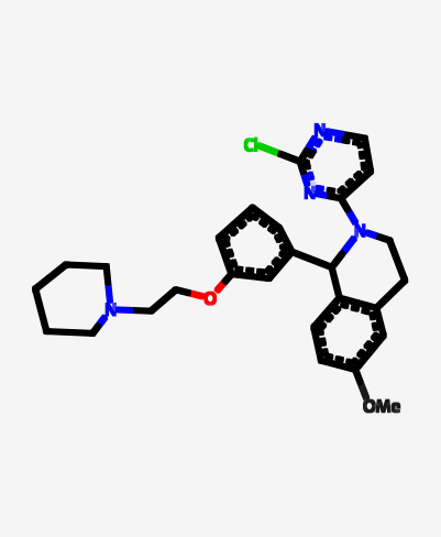 COc1ccc2c(c1)CCN(c1ccnc(Cl)n1)C2c1cccc(OCCN2CCCCC2)c1